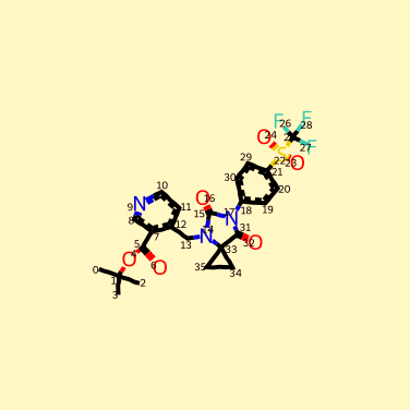 CC(C)(C)OC(=O)c1cnccc1CN1C(=O)N(c2ccc(S(=O)(=O)C(F)(F)F)cc2)C(=O)C12CC2